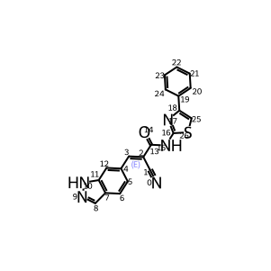 N#C/C(=C\c1ccc2cn[nH]c2c1)C(=O)Nc1nc(-c2ccccc2)cs1